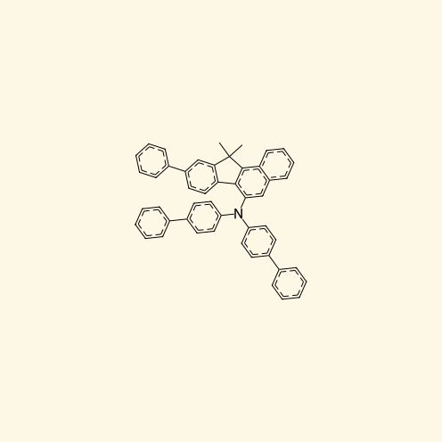 CC1(C)c2cc(-c3ccccc3)ccc2-c2c(N(c3ccc(-c4ccccc4)cc3)c3ccc(-c4ccccc4)cc3)cc3ccccc3c21